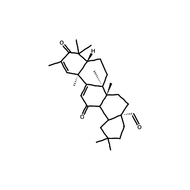 CC1=C[C@]2(C)C3=CC(=O)C4C5CC(C)(C)CC[C@]5(C=O)CC[C@@]4(C)[C@]3(C)CC[C@H]2C(C)(C)C1=O